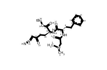 CN(C)CC(=O)N[C@@H](CCc1ccccc1)C(=O)N[C@@H](CCC(=O)C=[N+]=[N-])C(=O)OC(C)(C)C